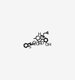 COC1[C@@H]2Oc3c(O)ccc4c3[C@@]23CCN(CC2CC2)[C@H](C4)[C@]32CCC(C)[C@@]1(COCc1cc3ccccc3s1)C2